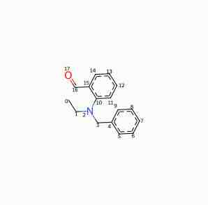 CCN(Cc1ccccc1)c1ccccc1C=O